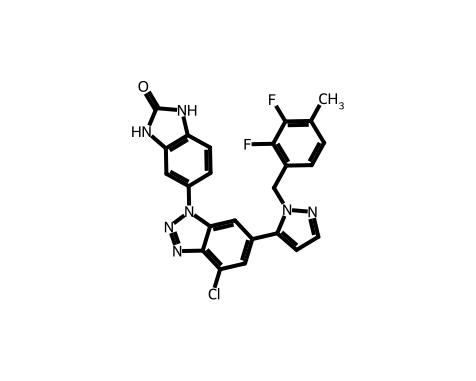 Cc1ccc(Cn2nccc2-c2cc(Cl)c3nnn(-c4ccc5[nH]c(=O)[nH]c5c4)c3c2)c(F)c1F